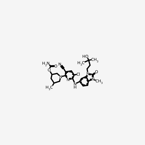 CC1CC(OC(N)=O)CN(c2nc(Nc3ccc4c(c3)n(CCC(C)(C)O)c(=O)n4C)c(Cl)cc2C#N)C1